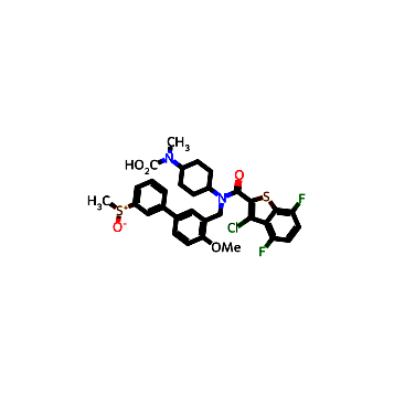 COc1ccc(-c2cccc([S+](C)[O-])c2)cc1CN(C(=O)c1sc2c(F)ccc(F)c2c1Cl)C1CCC(N(C)C(=O)O)CC1